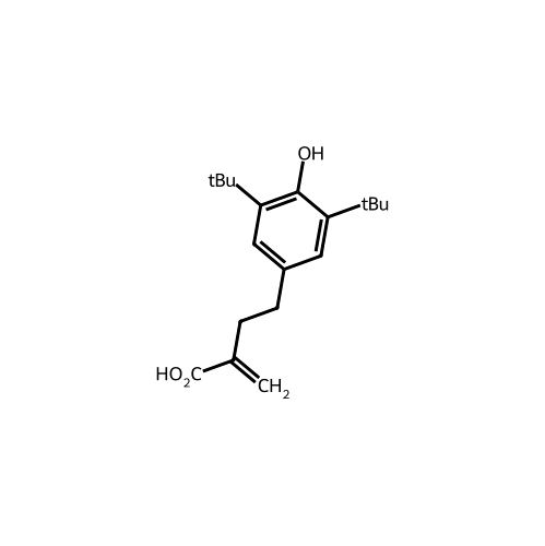 C=C(CCc1cc(C(C)(C)C)c(O)c(C(C)(C)C)c1)C(=O)O